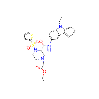 CCOC(=O)CN1CCN(S(=O)(=O)c2cccs2)[C@H](C(=O)Nc2ccc3c(c2)c2ccccc2n3CC)C1